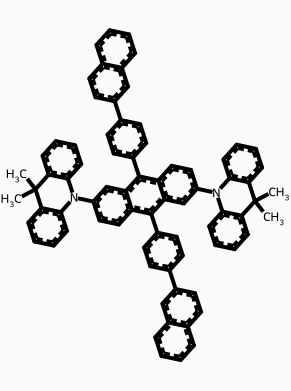 CC1(C)c2ccccc2N(c2ccc3c(-c4ccc(-c5ccc6ccccc6c5)cc4)c4cc(N5c6ccccc6C(C)(C)c6ccccc65)ccc4c(-c4ccc(-c5ccc6ccccc6c5)cc4)c3c2)c2ccccc21